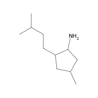 CC(C)CCC1CC(C)CC1N